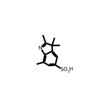 CC1=Nc2c(C)cc(S(=O)(=O)O)cc2C1(C)C